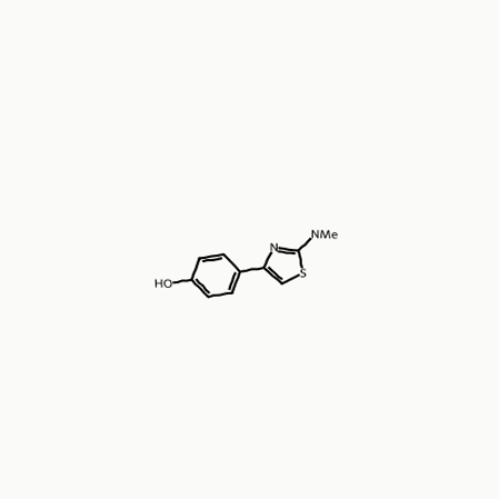 CNc1nc(-c2ccc(O)cc2)cs1